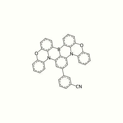 N#Cc1cccc(-c2cc3c4c(c2)N2c5ccccc5Oc5cccc(c52)B4c2cccc4c2N3c2ccccc2O4)c1